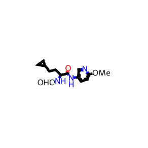 COc1ccc(NC(=O)C(CCC2CC2)NC=O)cn1